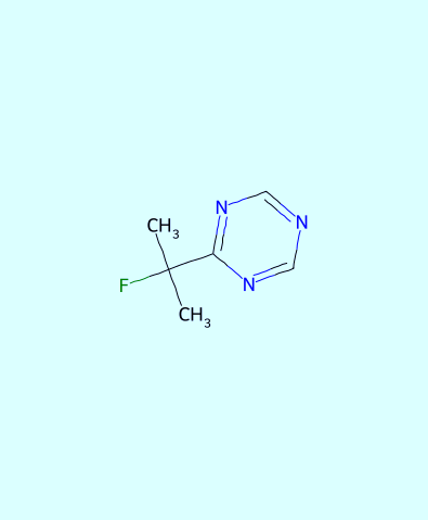 CC(C)(F)c1ncncn1